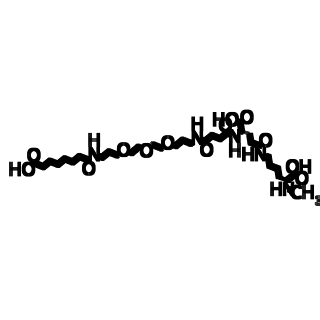 CN[C@@H](CCCCNC(=O)CC[C@H](NC(=O)CCC(=O)NCCCOCCOCCOCCCNC(=O)CCCCCCC(=O)O)C(=O)O)C(=O)O